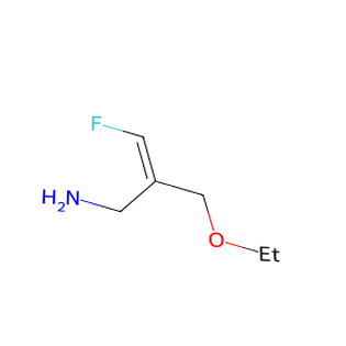 CCOCC(=CF)CN